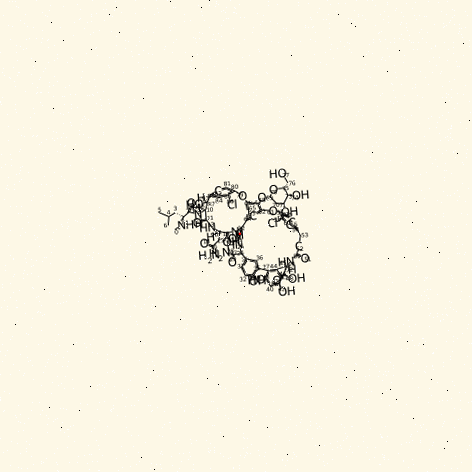 CN[C@H](CC(C)C)C(=O)N[C@H]1C(=O)N[C@@H](CC(N)=O)C(=O)N[C@H]2C(=O)NC(C(N)=O)c3ccc(O)c(c3)-c3c(O)cc(O)cc3[C@@H](C(=O)O)NC(=O)CCc3ccc(c(Cl)c3)Oc3cc2cc(c3O[C@H]2C[C@@H](O)[C@H](O)[C@@H](CO)O2)Oc2ccc(cc2Cl)[C@H]1O